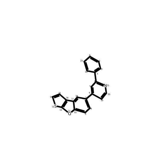 c1ccc(-c2cc(-c3ccc4oc5sccc5c4c3)ccn2)cc1